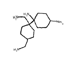 NCC1CCC(CN)(C2(N)CCC(N)CC2)CC1